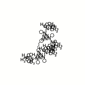 CC1(C)CN(CCN(c2nc(N3CCC(CCCC4CCN(c5nc(N(CCN6CC(C)(C)NC(C)(C)C6=O)C6CCCCC6)nc(N(CCN6CC(C)(C)NC(C)(C)C6=O)C6CCCCC6)n5)CC4)CC3)nc(N(CCN3CC(C)(C)NC(C)(C)C3=O)C3CCCCC3)n2)C2CCCCC2)C(=O)C(C)(C)N1